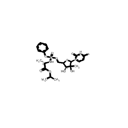 CC(C)OC(=O)[C@H](C)NP(=O)(OCC1OC(n2ccc(=S)[nH]c2=O)C(C)(O)[C@H]1O)Oc1ccccc1